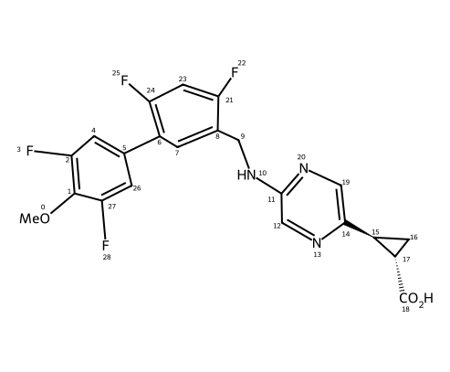 COc1c(F)cc(-c2cc(CNc3cnc([C@H]4C[C@@H]4C(=O)O)cn3)c(F)cc2F)cc1F